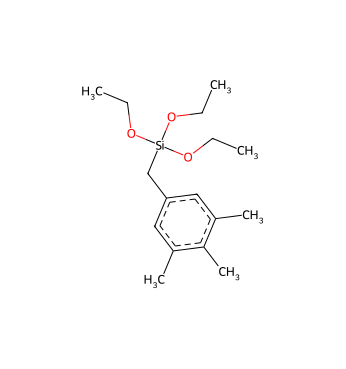 CCO[Si](Cc1cc(C)c(C)c(C)c1)(OCC)OCC